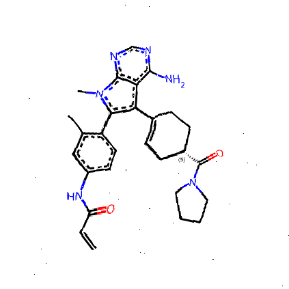 C=CC(=O)Nc1ccc(-c2c(C3=CC[C@@H](C(=O)N4CCCC4)CC3)c3c(N)ncnc3n2C)c(C)c1